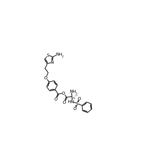 C[C@](N)(NS(=O)(=O)c1ccccc1)C(=O)OC(=O)c1ccc(OCCc2csc(N)n2)cc1